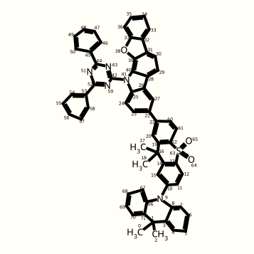 CC1(C)c2ccccc2N(c2ccc3c(c2)C(C)(C)c2cc(-c4ccc5c(c4)c4ccc6c7ccccc7oc6c4n5-c4nc(-c5ccccc5)nc(-c5ccccc5)n4)ccc2S3(=O)=O)c2ccccc21